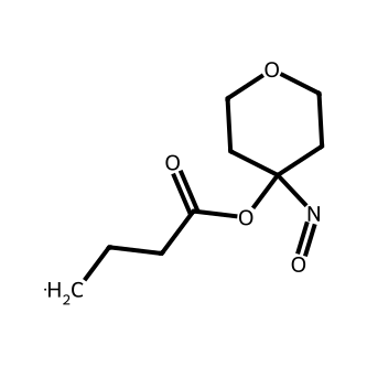 [CH2]CCC(=O)OC1(N=O)CCOCC1